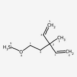 C=CC(C)(C=C)CCO[SiH3]